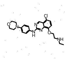 CCNCCOc1ccc(Cl)c2cnc(Nc3ccc(N4CCOCC4)cc3)nc12